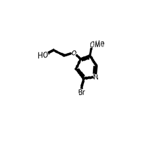 COc1cnc(Br)cc1OCCO